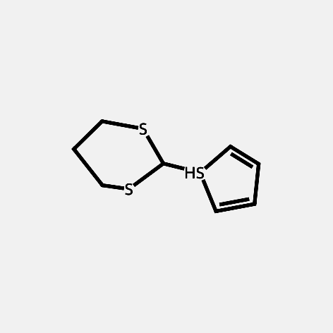 C1=C[SH](C2SCCCS2)C=C1